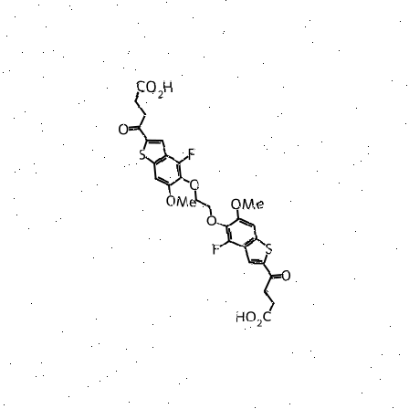 COc1cc2sc(C(=O)CCC(=O)O)cc2c(F)c1OCCOc1c(OC)cc2sc(C(=O)CCC(=O)O)cc2c1F